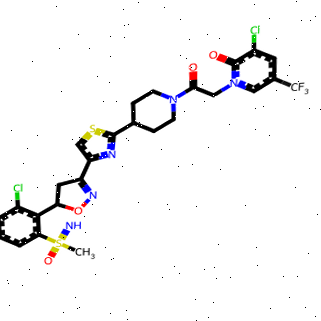 CS(=N)(=O)c1cccc(Cl)c1C1CC(c2csc(C3CCN(C(=O)Cn4cc(C(F)(F)F)cc(Cl)c4=O)CC3)n2)=NO1